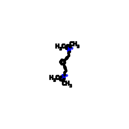 Cc1cc(C)c[n+](CCCC#Cc2cccc(C#CCCC[n+]3cc(C)cc(C)c3)c2)c1